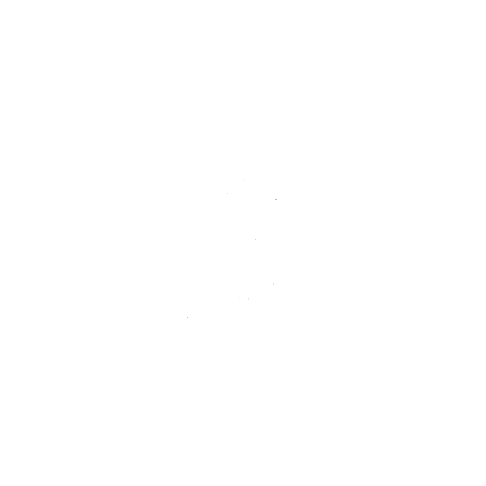 COCOCC(C)Cc1ccc(C(C)(C)C)cc1